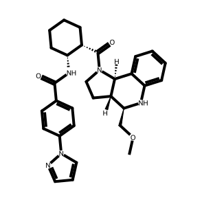 COC[C@@H]1Nc2ccccc2[C@H]2[C@H]1CCN2C(=O)[C@H]1CCCC[C@H]1NC(=O)c1ccc(-n2cccn2)cc1